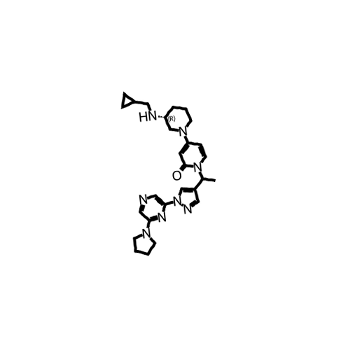 CC(c1cnn(-c2cncc(N3CCCC3)n2)c1)n1ccc(N2CCC[C@@H](NCC3CC3)C2)cc1=O